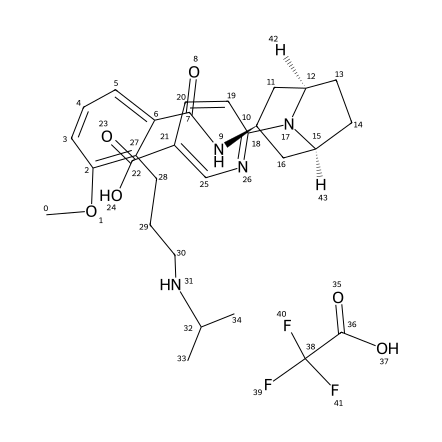 COc1cccc(C(=O)N[C@H]2C[C@H]3CC[C@@H](C2)N3c2ccc(C(=O)O)cn2)c1CCCNC(C)C.O=C(O)C(F)(F)F